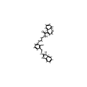 Cc1c(CSc2nc3ccccc3[nH]2)cccc1SCCNC(=O)c1ccnc2ccccc12